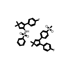 CC1(C)C=C(NS(=O)(=O)c2ccccc2)C(c2ccc(F)cc2)=C1.CC1(C)C=C(c2ccc(F)cc2)C(c2ccc(S(C)(=O)=O)cc2)=C1